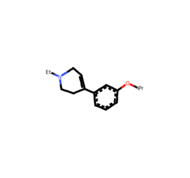 CCN1CC=C(c2cccc(OC(C)C)c2)CC1